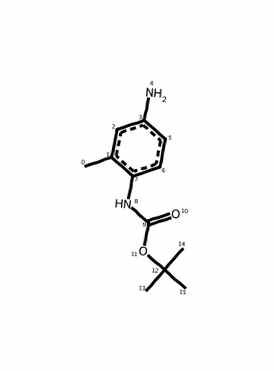 Cc1cc(N)ccc1NC(=O)OC(C)(C)C